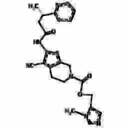 C[C@@H](CC(=O)Nc1sc2c(c1C#N)CCN(C(=O)OCc1cncn1C)C2)c1ccccn1